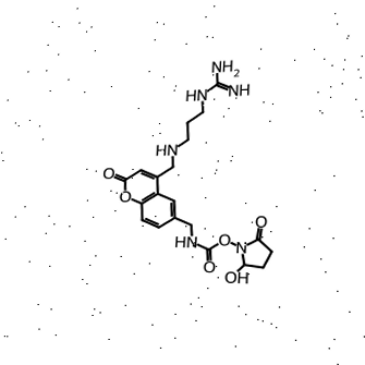 N=C(N)NCCCNCc1cc(=O)oc2ccc(CNC(=O)ON3C(=O)CCC3O)cc12